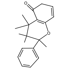 CC1(C)C2=C(C=CCC2=O)OC(C)(c2ccccc2)C1(C)C